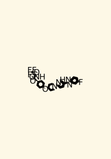 O=C(NS(=O)(=O)C(F)(F)F)[C@H]1CC[C@H](OC2CCN(c3ccc(-c4nc5cc(F)ccc5[nH]4)cn3)CC2)CC1